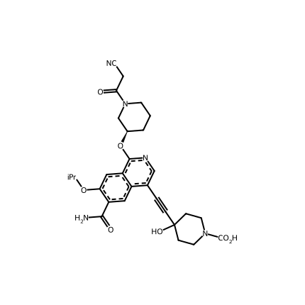 CC(C)Oc1cc2c(O[C@@H]3CCCN(C(=O)CC#N)C3)ncc(C#CC3(O)CCN(C(=O)O)CC3)c2cc1C(N)=O